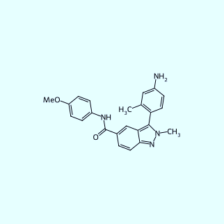 COc1ccc(NC(=O)c2ccc3nn(C)c(-c4ccc(N)cc4C)c3c2)cc1